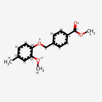 COC(=O)c1ccc(COc2ccc(C)cc2OC)cc1